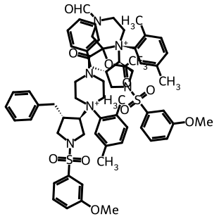 COc1cccc(S(=O)(=O)N2C[C@H](Cc3ccccc3)[C@@H]([N+]3(c4cc(C)ccc4C)CCN(C(=O)C4(OC(=O)C(F)(F)F)CN(C=O)CC[N@+]4(c4cc(C)ccc4C)[C@H]4CN(S(=O)(=O)c5cccc(OC)c5)C[C@@H]4Cc4ccccc4)CC3)C2)c1